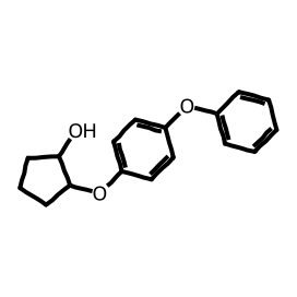 OC1CCCC1Oc1ccc(Oc2ccccc2)cc1